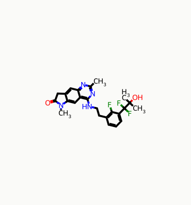 Cc1nc(NCCc2cccc(C(F)(F)C(C)(C)O)c2F)c2cc3c(cc2n1)CC(=O)N3C